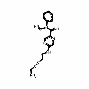 N=NN(C(=N)c1cnc(NCCCCCN)cn1)c1ccccc1